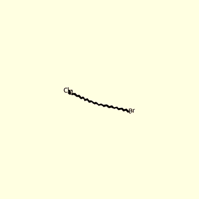 C[Si](C)(Cl)CCCCCCCCCCCCCCCCCCCCCCCCCBr